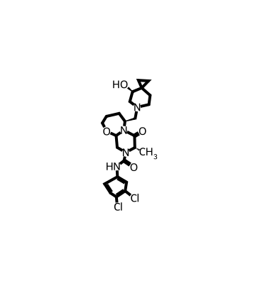 C[C@H]1C(=O)N2C(CN1C(=O)Nc1ccc(Cl)c(Cl)c1)OCCC[C@H]2CN1CCC2(CC2)[C@H](O)C1